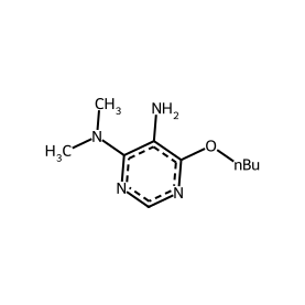 CCCCOc1ncnc(N(C)C)c1N